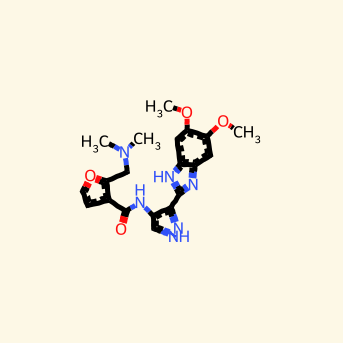 COc1cc2nc(-c3n[nH]cc3NC(=O)c3ccoc3CN(C)C)[nH]c2cc1OC